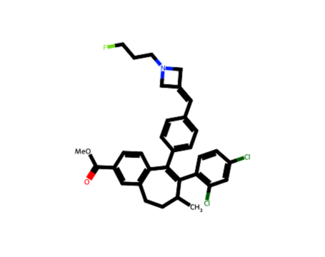 COC(=O)c1ccc2c(c1)CCC(C)C(c1ccc(Cl)cc1Cl)=C2c1ccc(C=C2CN(CCCF)C2)cc1